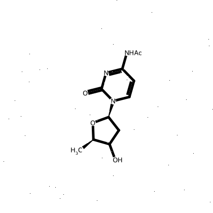 CC(=O)Nc1ccn([C@H]2CC(O)[C@@H](C)O2)c(=O)n1